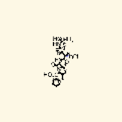 CCO/N=C(\C(=O)NC1C(=O)N2C(C(=O)O)=C(C[n+]3ccccc3)CS[C@H]12)c1nsc(NP(N)(=O)O)n1